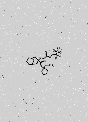 CCC1(OC(=O)C2(CCC(=O)OCC(F)(F)S(=O)(=O)O)CC3CCCC(C3)C2)CCCC1